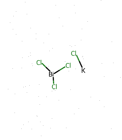 [Cl][Bi]([Cl])[Cl].[Cl][K]